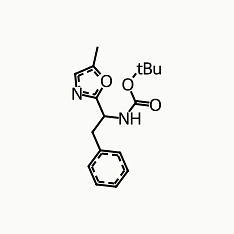 Cc1cnc(C(Cc2ccccc2)NC(=O)OC(C)(C)C)o1